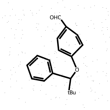 CC(C)(C)C(Oc1ccc(C=O)cc1)c1ccccc1